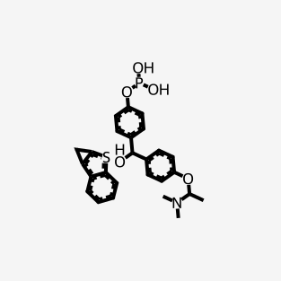 CC(Oc1ccc(C(O)c2ccc(OP(O)O)cc2)cc1)N(C)C.c1ccc2c3c(sc2c1)C3